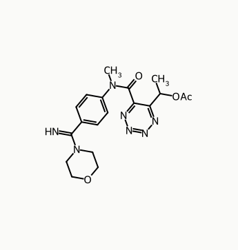 CC(=O)OC(C)c1nnnnc1C(=O)N(C)c1ccc(C(=N)N2CCOCC2)cc1